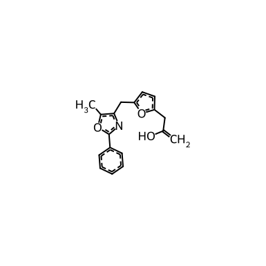 C=C(O)Cc1ccc(Cc2nc(-c3ccccc3)oc2C)o1